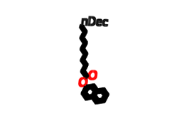 CCCCCCCCCCCCCCCCCCCC(=O)Oc1ccc2ccccc2c1